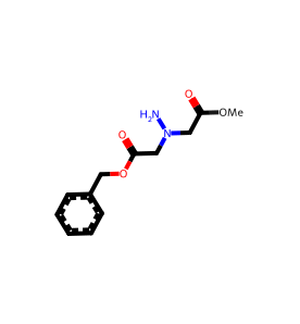 COC(=O)CN(N)CC(=O)OCc1ccccc1